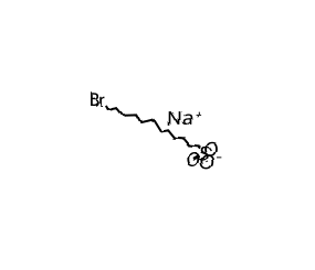 O=S(=O)([O-])CCCCCCCCCCCCBr.[Na+]